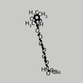 CC(NCCOCCOCCOCCOCCOCCOCCNC(=O)OC(C)(C)C)=C1C(=O)CC(C)(C)CC1=O